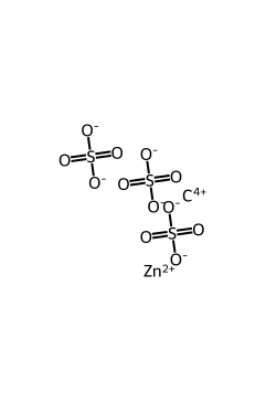 O=S(=O)([O-])[O-].O=S(=O)([O-])[O-].O=S(=O)([O-])[O-].[C+4].[Zn+2]